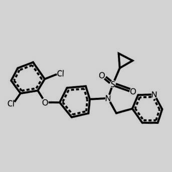 O=S(=O)(C1CC1)N(Cc1cccnc1)c1ccc(Oc2c(Cl)cccc2Cl)cc1